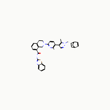 Cc1c(-c2ccc(N3CCc4cccc(C(=O)Nc5nc6ccccc6s5)c4C3)nc2C(=O)O)cnn1C[C@@H]1C[C@@H]2C=CC1C2